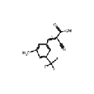 Cc1cc(/C=C(\C#N)C(=O)O)cc(C(F)(F)F)c1